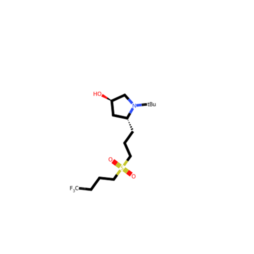 CC(C)(C)N1C[C@H](O)C[C@H]1CCCS(=O)(=O)CCCC(F)(F)F